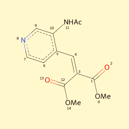 COC(=O)C(=Cc1ccncc1NC(C)=O)C(=O)OC